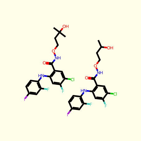 CC(C)(O)CCONC(=O)c1cc(Cl)c(F)cc1Nc1ccc(I)cc1F.CC(O)CCONC(=O)c1cc(Cl)c(F)cc1Nc1ccc(I)cc1F